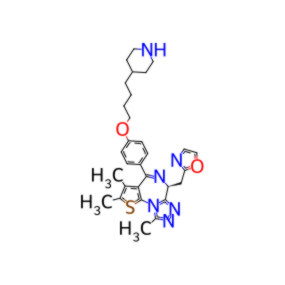 Cc1sc2c(c1C)C(c1ccc(OCCCCC3CCNCC3)cc1)=N[C@@H](Cc1ncco1)c1nnc(C)n1-2